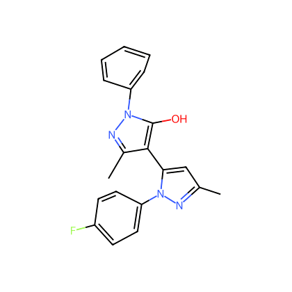 Cc1cc(-c2c(C)nn(-c3ccccc3)c2O)n(-c2ccc(F)cc2)n1